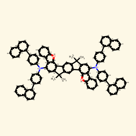 CC1(C)c2cc3c(cc2-c2c1cc(N(c1ccc(-c4cccc5ccccc45)cc1)c1ccc(-c4cccc5ccccc45)cc1)c1c2oc2ccccc21)C(C)(C)c1cc(N(c2ccc(-c4cccc5ccccc45)cc2)c2ccc(-c4cccc5ccccc45)cc2)c2c(oc4ccccc42)c1-3